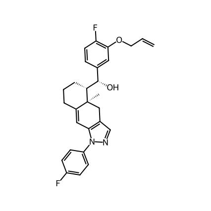 C=CCOc1cc([C@H](O)[C@H]2CCCC3=Cc4c(cnn4-c4ccc(F)cc4)C[C@@]32C)ccc1F